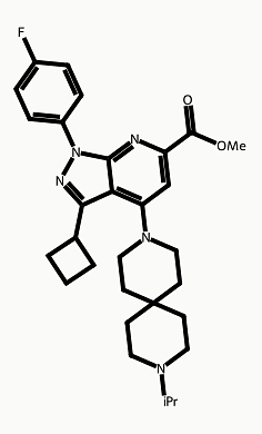 COC(=O)c1cc(N2CCC3(CC2)CCN(C(C)C)CC3)c2c(C3CCC3)nn(-c3ccc(F)cc3)c2n1